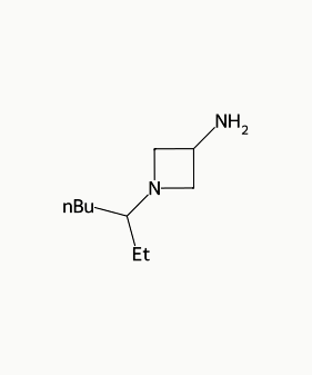 CCCCC(CC)N1CC(N)C1